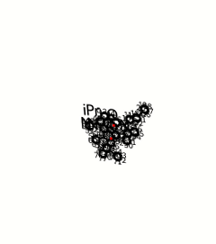 CC(C)c1cc2oc3cc(N(c4ccc5cc(-c6ccccc6)ccc5c4)c4cc5ccccc5c5ccccc45)ccc3c2c2c1cc(N1C=NC=CC1)c1cc(C(c3ccccc3)c3cccc4c(-c5ccccc5)c5ccccc5cc34)c3c4ccccc4oc3c12